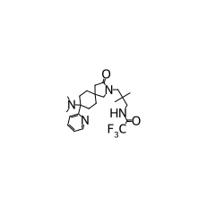 CN(C)C1(c2ccccn2)CCC2(CC1)CC(=O)N(CC(C)(C)CNC(=O)C(F)(F)F)C2